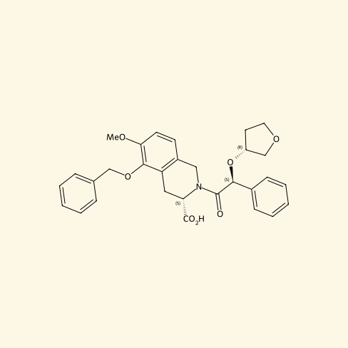 COc1ccc2c(c1OCc1ccccc1)C[C@@H](C(=O)O)N(C(=O)[C@@H](O[C@@H]1CCOC1)c1ccccc1)C2